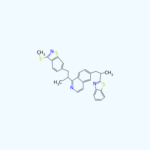 CSc1nsc2cc(CC(C)c3nccc4cc(CC(C)c5nc6ccccc6s5)ccc34)ccc12